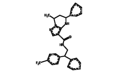 CC1CC(c2ccccc2)Nc2c(C(=O)NCC(c3ccccc3)c3ccc(C(F)(F)F)cc3)cnn21